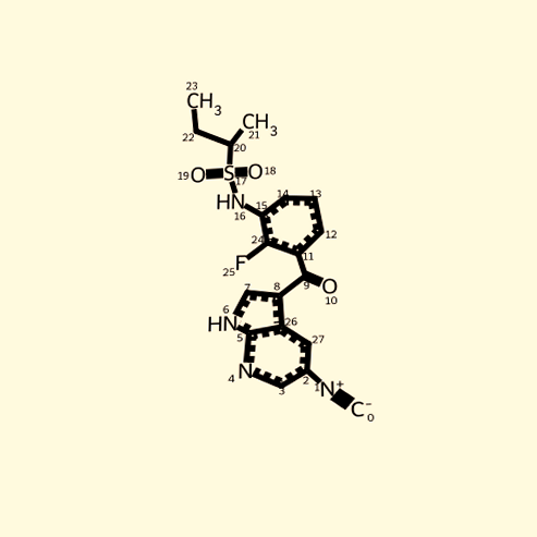 [C-]#[N+]c1cnc2[nH]cc(C(=O)c3cccc(NS(=O)(=O)C(C)CC)c3F)c2c1